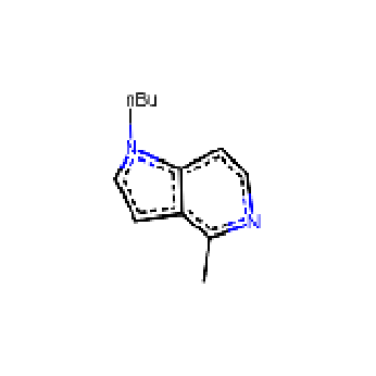 CCCCn1ccc2c(C)nccc21